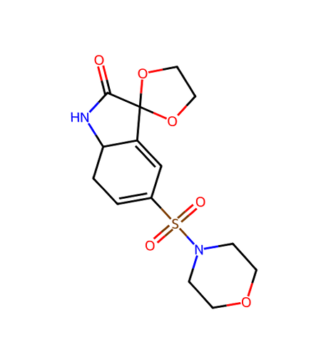 O=C1NC2CC=C(S(=O)(=O)N3CCOCC3)C=C2C12OCCO2